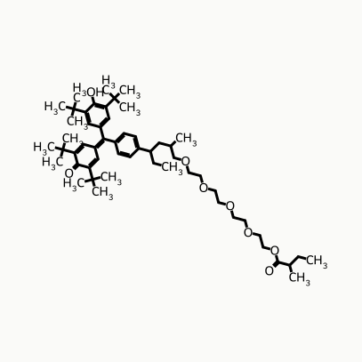 CCC(C)C(=O)OCCOCCOCCOCCOCC(C)CC(CC)c1ccc(C(=C2C=C(C(C)(C)C)C(=O)C(C(C)(C)C)=C2)c2cc(C(C)(C)C)c(O)c(C(C)(C)C)c2)cc1